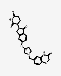 O=C1CCC(N2Cc3cc(O[C@H]4CCN(Cc5ccc6c(c5)NC(=O)CO6)C4)ccc3C2=O)C(=O)N1